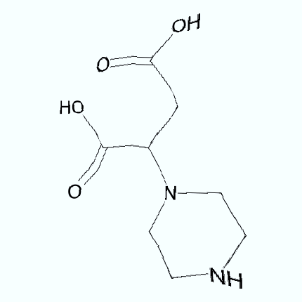 O=C(O)CC(C(=O)O)N1CCNCC1